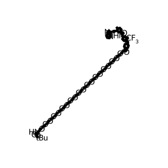 Cc1ccc(C(=O)Nc2ccc(CN3CCN(C(=O)CCOCCOCCOCCOCCOCCOCCOCCOCCOCCOCCOCCOCCOCCOCCOCCOCCOCCOCCOCCOCCNC(=O)OC(C)(C)C)CC3)c(C(F)(F)F)c2)cc1C#Cc1cnc2cccnn12